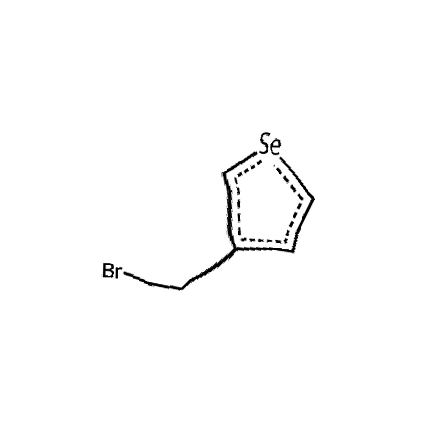 BrCc1cc[se]c1